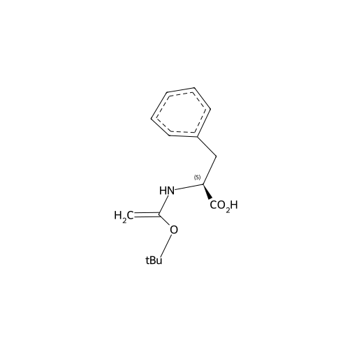 C=C(N[C@@H](Cc1ccccc1)C(=O)O)OC(C)(C)C